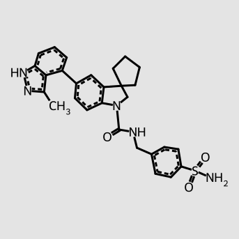 Cc1n[nH]c2cccc(-c3ccc4c(c3)C3(CCCC3)CN4C(=O)NCc3ccc(S(N)(=O)=O)cc3)c12